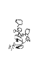 COC(=O)[C@H](Cc1cn(-c2ccccc2)cn1)N1CC[C@H](NC(=O)OCc2ccccc2)C1